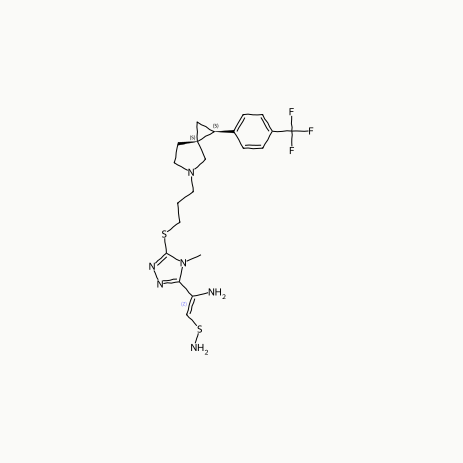 Cn1c(SCCCN2CC[C@]3(C[C@H]3c3ccc(C(F)(F)F)cc3)C2)nnc1/C(N)=C/SN